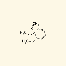 C=CC1(CC)C=CC=CC1CC